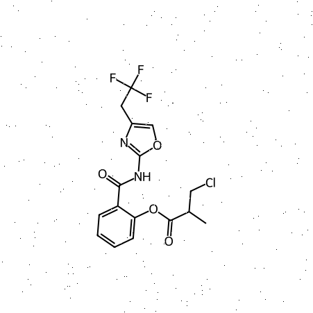 CC(CCl)C(=O)Oc1ccccc1C(=O)Nc1nc(CC(F)(F)F)co1